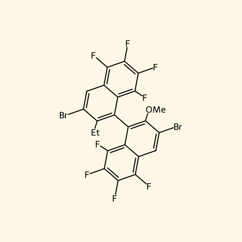 CCc1c(Br)cc2c(F)c(F)c(F)c(F)c2c1-c1c(OC)c(Br)cc2c(F)c(F)c(F)c(F)c12